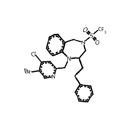 O=S(=O)(N1Cc2ccccc2N(Cc2cc(Cl)c(Br)cn2)C(CCc2ccccc2)C1)C(F)(F)F